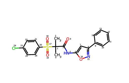 CC(C)(C(=O)Nc1cc(-c2ccccc2)no1)S(=O)(=O)c1ccc(Cl)cc1